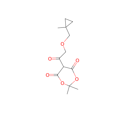 CC1(COCC(=O)C2C(=O)OC(C)(C)OC2=O)CC1